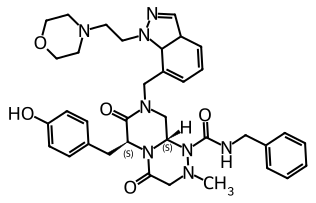 CN1CC(=O)N2[C@@H](Cc3ccc(O)cc3)C(=O)N(CC3=CC=CC4C=NN(CCN5CCOCC5)C34)C[C@@H]2N1C(=O)NCc1ccccc1